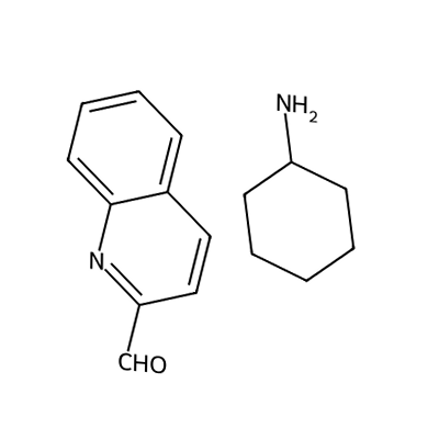 NC1CCCCC1.O=Cc1ccc2ccccc2n1